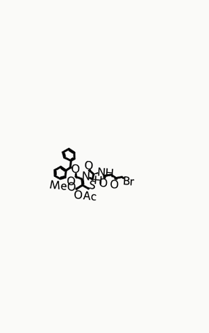 COC(OC(C)=O)C1=C(C(=O)OC(c2ccccc2)c2ccccc2)N2C(=O)[C@@H](NC(=O)CC(=O)CBr)[C@H]2SC1